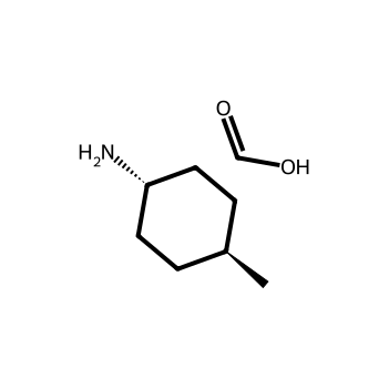 C[C@H]1CC[C@H](N)CC1.O=CO